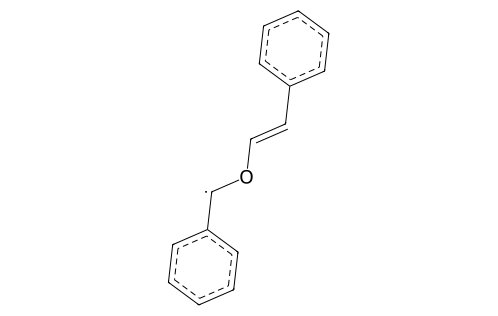 [CH](OC=Cc1ccccc1)c1ccccc1